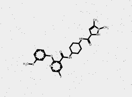 CSc1cccc(Oc2ncc(F)cc2C(=O)NC2CCC(NC(=O)C3C=C(C)N(C)N3)CC2)c1